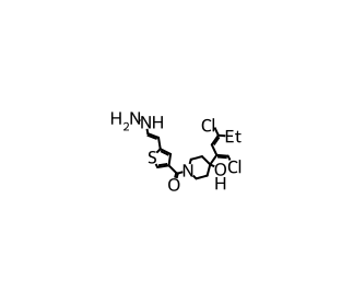 CC/C(Cl)=C\C(=C\Cl)C1(O)CCN(C(=O)c2csc(/C=C/NN)c2)CC1